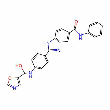 O=C(Nc1ccccc1)c1ccc2[nH]c(-c3ccc(NC(O)c4cnco4)cc3)nc2c1